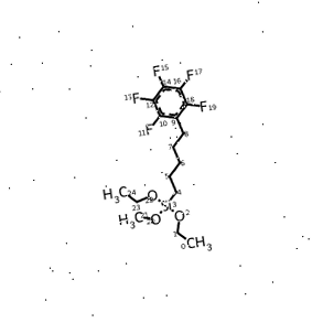 CCO[Si](CCCCCc1c(F)c(F)c(F)c(F)c1F)(OC)OCC